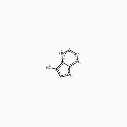 N#Cc1cnc2ncc[nH]c1-2